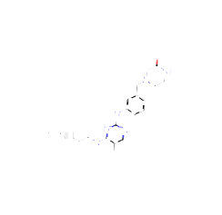 CC(=O)NCCNc1nc(Nc2cccc(CN3CCNC(=O)C3)c2)ncc1C(F)(F)F